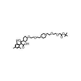 Cc1cc(C)c(/C(C(=O)O)=C(\O)C2CCC(OCCOCCN3CCN(CCOCCOCC(=O)OC(C)(C)C)CC3)CC2)c(C)c1